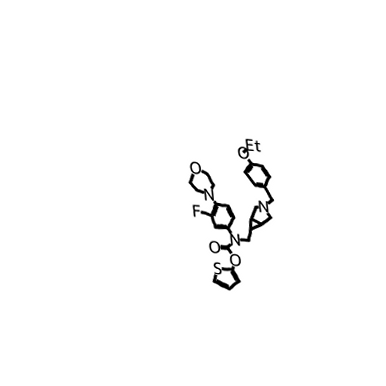 CCOc1ccc(CN2CC3C(C2)C3CN(C(=O)Oc2cccs2)c2ccc(N3CCOCC3)c(F)c2)cc1